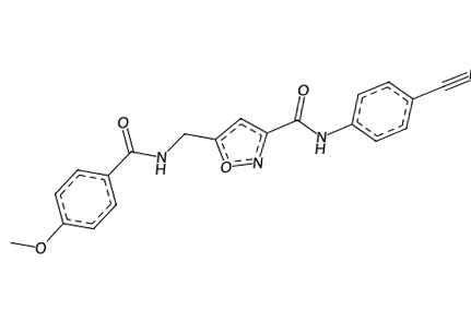 COc1ccc(C(=O)NCc2cc(C(=O)Nc3ccc(C#N)cc3)no2)cc1